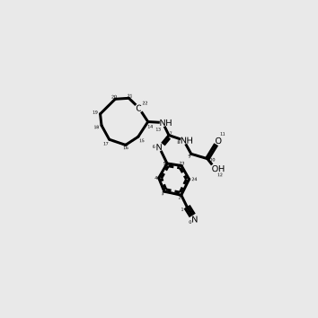 N#Cc1ccc(N=C(NCC(=O)O)NC2CCCCCCCC2)cc1